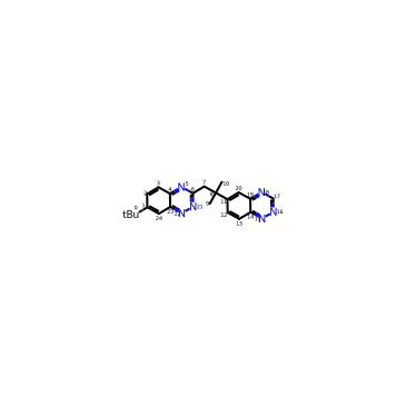 CC(C)(C)c1ccc2nc(CC(C)(C)c3ccc4nncnc4c3)nnc2c1